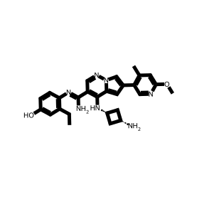 CCc1cc(O)ccc1/N=C(\N)c1cnn2cc(-c3cnc(OC)cc3C)cc2c1N[C@H]1C[C@@H](N)C1